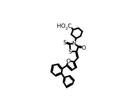 O=C(O)C1CCCC(N2C(=O)C(=Cc3ccc(-c4ccccc4-c4ccccc4)o3)SC2=S)C1